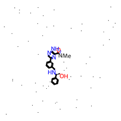 CNC(=O)c1nc(-c2cccc(CN[C@@H](CO)c3ccccc3)c2)cnc1N